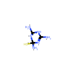 NC1=NC(N)(S)N=C(N)N1